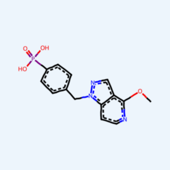 COc1nccc2c1cnn2Cc1ccc(P(=O)(O)O)cc1